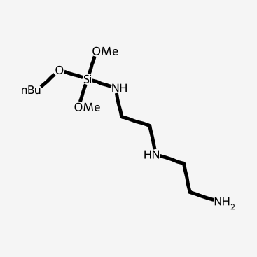 CCCCO[Si](NCCNCCN)(OC)OC